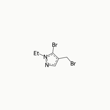 CCn1ncc(CBr)c1Br